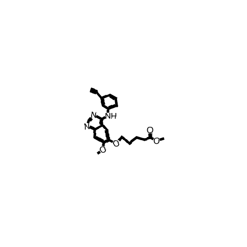 C#Cc1cccc(Nc2ncnc3cc(OC)c(OCCCCC(=O)OC)cc23)c1